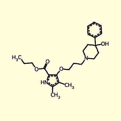 CCCOC(=O)c1[nH]c(C)c(C)c1OCCCN1CCC(O)(c2ccccc2)CC1